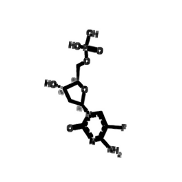 Nc1nc(=O)n([C@H]2C[C@H](O)[C@@H](COP(=O)(O)O)O2)cc1F